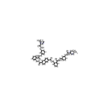 C/C=C\C(=C/C)C(=O)NCc1cccc(CNC(=O)c2ccccc2COC(=O)c2ccc3cc(C(=O)OCc4ccccc4C(=O)NCc4cccc(CNC(=O)C(/C=C\C)=C/C)c4)ccc3c2)c1